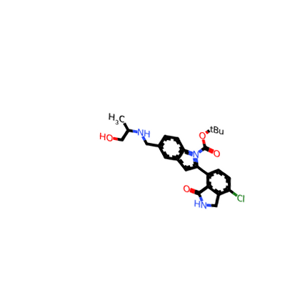 CC(CO)NCc1ccc2c(c1)cc(-c1ccc(Cl)c3c1C(=O)NC3)n2C(=O)OC(C)(C)C